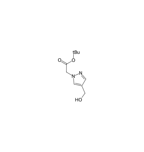 CC(C)(C)OC(=O)Cn1cc(CO)cn1